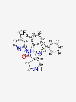 O=C(Nc1cc(C(F)(F)F)ccn1)C1(CN=C(c2ccccc2)c2ccccc2)CCNCC1